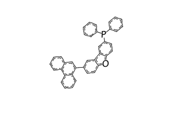 c1ccc(P(c2ccccc2)c2ccc3oc4ccc(-c5cc6ccccc6c6ccccc56)cc4c3c2)cc1